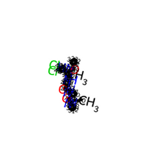 CC=CCn1c(C(=O)c2cccc3[nH]c(C(=O)C4CCN(C(CC)CC(CNC(=O)c5ccccc5)c5ccc(Cl)c(Cl)c5)CC4)nc23)nc2ccccc21